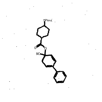 CCCCCC1CCC(C(=O)OC2(C#N)C=CC(c3ccccc3)=CC2)CC1